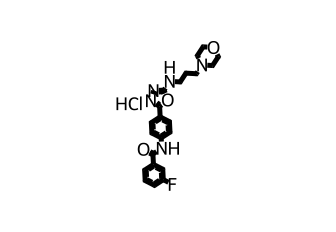 Cl.O=C(Nc1ccc(-c2nnc(NCCCN3CCOCC3)o2)cc1)c1cccc(F)c1